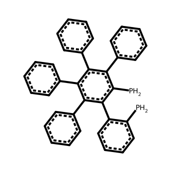 Pc1ccccc1-c1c(P)c(-c2ccccc2)c(-c2ccccc2)c(-c2ccccc2)c1-c1ccccc1